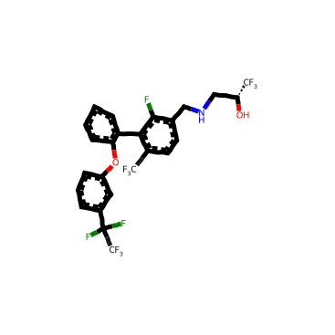 O[C@H](CNCc1ccc(C(F)(F)F)c(-c2ccccc2Oc2cccc(C(F)(F)C(F)(F)F)c2)c1F)C(F)(F)F